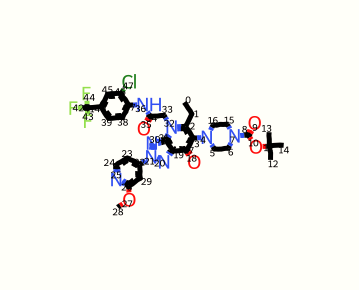 CCc1c(N2CCN(C(=O)OC(C)(C)C)CC2)c(=O)c2nn(-c3ccnc(OC)c3)nc2n1CC(=O)Nc1ccc(C(F)(F)F)cc1Cl